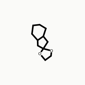 C1CCC2CC3(CC2C1)OCCO3